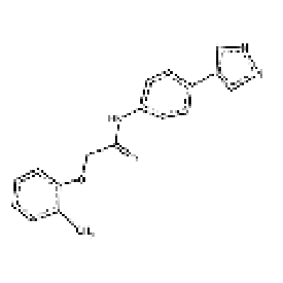 Cc1ccccc1OCC(=O)Nc1ccc(-c2cn[nH]c2)cc1